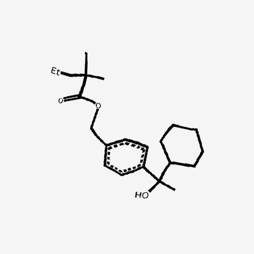 CCC(C)(C)C(=O)OCc1ccc(C(C)(O)C2CCCCC2)cc1